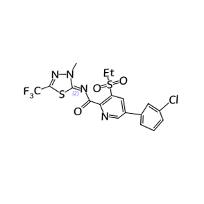 CCS(=O)(=O)c1cc(-c2cccc(Cl)c2)cnc1C(=O)/N=c1\sc(C(F)(F)F)nn1C